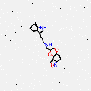 c1ccc2c(CCCNCC3COc4ccc5nocc5c4O3)c[nH]c2c1